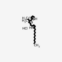 CCCCCCCCCCCc1ccc(C=C2C=C(C(C)(C)C)C(c3ccc[nH]3)=N2)[nH]1.Cl